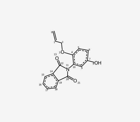 C=CCOc1ccc(O)cc1N1C(=O)c2ccccc2C1=O